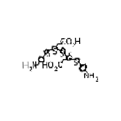 NCc1ccc(-c2ccc(-c3cc(CCC(=O)O)c(-c4ccc(-c5sc(-c6ccc(-c7ccc(CN)cc7)s6)cc5CCC(=O)O)s4)s3)s2)cc1